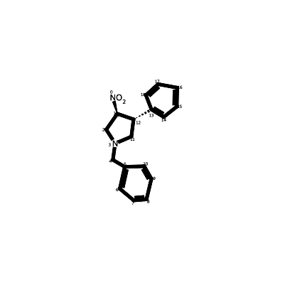 O=[N+]([O-])[C@@H]1CN(Cc2ccccc2)C[C@H]1c1ccccc1